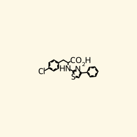 O=C(O)C(Cc1ccc(Cl)cc1)Nc1nc(-c2ccccc2)cs1